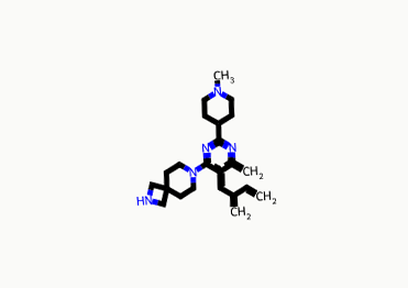 C=CC(=C)/C=c1/c(N2CCC3(CC2)CNC3)nc(C2CCN(C)CC2)nc1=C